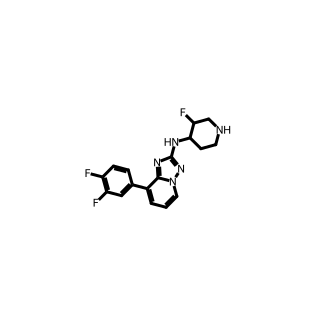 Fc1ccc(-c2cccn3nc(NC4CCNCC4F)nc23)cc1F